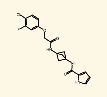 O=C(COc1ccc(Cl)c(F)c1)NC12CC(NC(=O)c3ccc[nH]3)(C1)C2